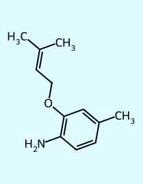 CC(C)=CCOc1cc(C)ccc1N